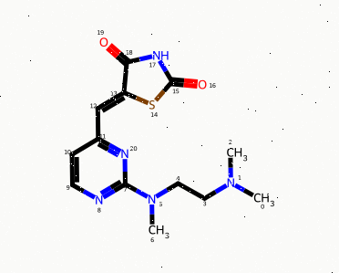 CN(C)CCN(C)c1nccc(/C=C2\SC(=O)NC2=O)n1